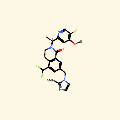 CCOc1cc([C@H](C)N2CCc3c(cc(Cn4ccnc4NC)cc3C(F)F)C2=O)ncc1F